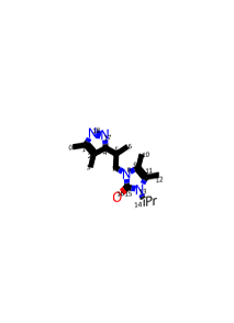 CC1=C(C)C(C(C)Cn2c(C)c(C)n(C(C)C)c2=O)N=N1